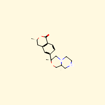 C[C@@H]1Cc2cc([C@]3(C)CN4CCNC[C@H]4CO3)ccc2C(=O)O1